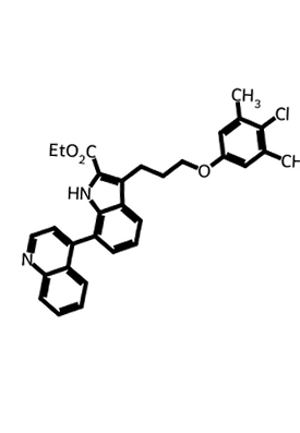 CCOC(=O)c1[nH]c2c(-c3ccnc4ccccc34)cccc2c1CCCOc1cc(C)c(Cl)c(C)c1